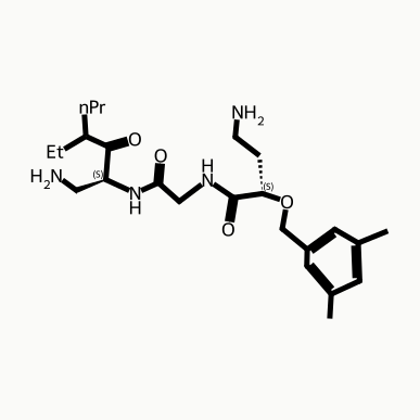 CCCC(CC)C(=O)[C@H](CN)NC(=O)CNC(=O)[C@H](CCN)OCc1cc(C)cc(C)c1